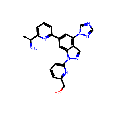 C[C@H](N)c1cccc(-c2cc(-n3cncn3)c3cnn(-c4cccc(CO)n4)c3c2)n1